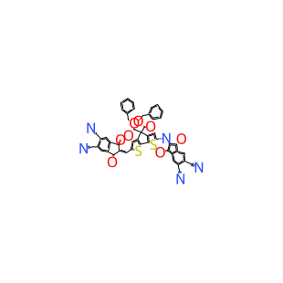 N#Cc1cc2c(cc1C#N)C(=O)C(=Cc1cc3c(s1)-c1sc(N=c4c(=O)c5cc(C#N)c(C#N)cc5c4=O)cc1C3(C(=O)OCc1ccccc1)C(=O)OCc1ccccc1)C2=O